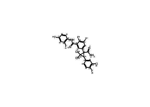 NC(=O)C1(c2cc(F)c(F)c(C(=O)Nc3ccc(F)cc3F)c2)C(c2ccc(F)c(Cl)c2)C1(Cl)Cl